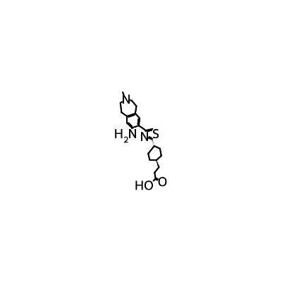 CN1CCc2cc(N)c(-c3csc([C@H]4CC[C@H](CCC(=O)O)CC4)n3)cc2CC1